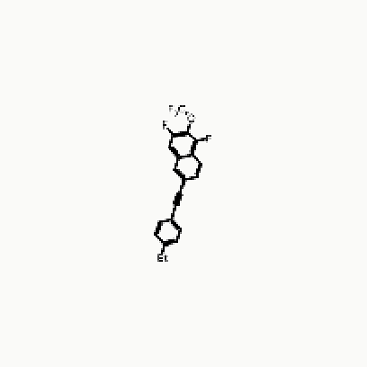 CCc1ccc(C#Cc2ccc3c(F)c(OC(F)(F)F)c(F)cc3c2)cc1